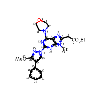 CCOC(=O)Cc1nc2c(N3CCOCC3)nc(-n3cc(-c4ccccc4)c(OC)n3)nc2n1CC